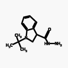 CC(C)(C)N1CC(C(=O)NN)c2ccccc21